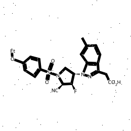 CCOc1ccc(S(=O)(=O)N2C[C@H](n3nc(CC(=O)O)c4ccc(C)cc43)[C@@H](F)[C@H]2C#N)cc1